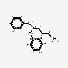 CCCCP(Oc1ccccc1)Oc1ccccc1